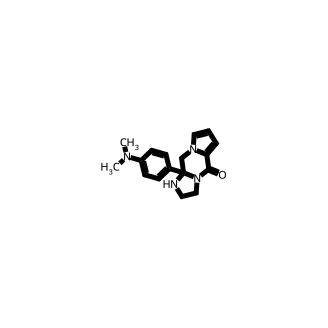 CN(C)c1ccc(C23Cn4cccc4C(=O)N2CCN3)cc1